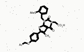 CSc1ccccc1Cn1c(=O)n(CC(=O)O)c(=O)c2c(C)c(-c3ccc(OCC(C)=O)cc3)sc21